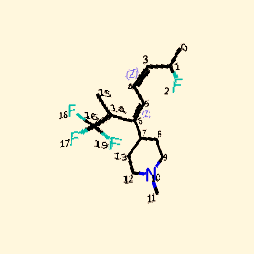 CC(F)/C=C\C=C(\C1CCN(C)CC1)C(C)C(F)(F)F